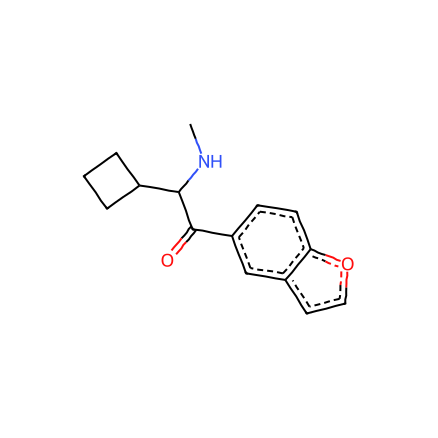 CNC(C(=O)c1ccc2occc2c1)C1CCC1